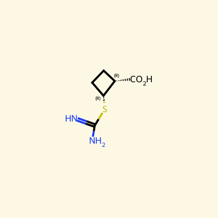 N=C(N)S[C@@H]1CC[C@@H]1C(=O)O